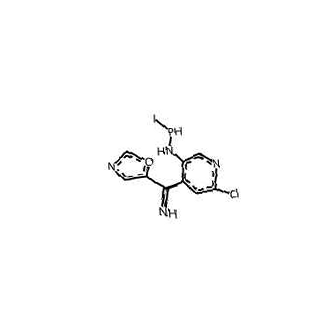 N=C(c1cnco1)c1cc(Cl)ncc1NPI